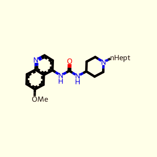 CCCCCCCN1CCC(NC(=O)Nc2ccnc3ccc(OC)cc23)CC1